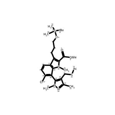 COC(=O)c1c(CCCO[Si](C)(C)C(C)(C)C)c2ccc(Cl)c(-c3c(CSC(C)=O)c(C)nn3C)c2n1C